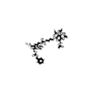 B[C@@H]1O[C@H](COC(=O)OCc2ccccc2)C(OP(=O)(O)OC)[C@@H]1CCCNC(=O)NCCCCO[C@@H]1O[C@H](COC(C)=O)[C@H](OC(C)=O)[C@H](OC(C)=O)[C@H]1NC(C)=O